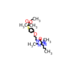 CCCc1nn(C)c2c(=O)n(CCCOc3ccc(SC(C)(C)C(=O)OCC)cc3)c(C)nc12